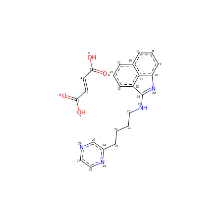 O=C(O)C=CC(=O)O.c1cc2c3c(cccc3c1)C(NCCCCc1cnccn1)=N2